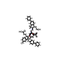 CC1(C)\C(=C/C=C(C#N)/C=C/C2=[N+](CCC(=O)O)c3ccc(Cl)cc3C2(Cc2ccc(-c3ccccc3)cc2)Cc2cccc([N+](=O)[O-])c2)N(CCO)c2ccc(-c3ccccc3)cc21